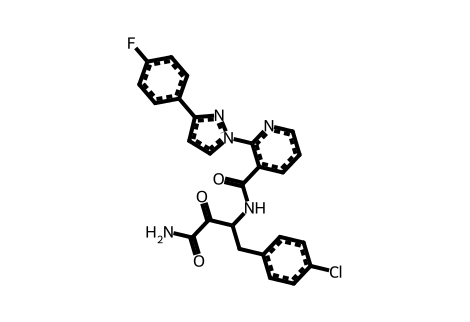 NC(=O)C(=O)C(Cc1ccc(Cl)cc1)NC(=O)c1cccnc1-n1ccc(-c2ccc(F)cc2)n1